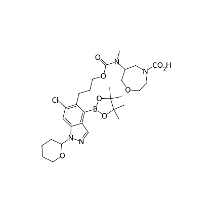 CN(C(=O)OCCCc1c(Cl)cc2c(cnn2C2CCCCO2)c1B1OC(C)(C)C(C)(C)O1)C1COCCN(C(=O)O)C1